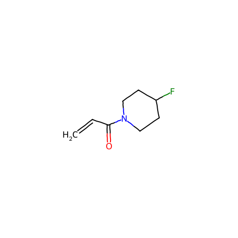 C=CC(=O)N1CCC(F)CC1